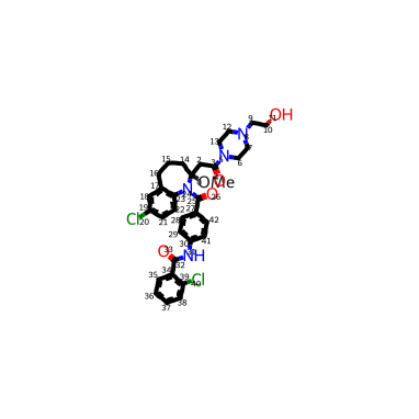 COC1(CC(=O)N2CCN(CCO)CC2)CCCc2cc(Cl)ccc2N1C(=O)c1ccc(NC(=O)c2ccccc2Cl)cc1